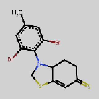 Cc1cc(Br)c(N2CSC3=CC(=S)CCC32)c(Br)c1